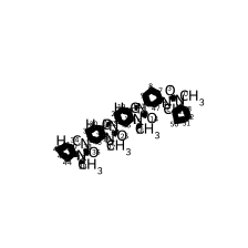 CN(C(=O)N(C)c1cccc(N(C)C(=O)N(C)c2cccc(N(C)C(=O)N(C)c3cccc(N(C)C(=O)N(C)c4ccccc4)c3)c2)c1)c1ccccc1